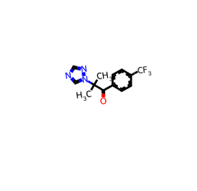 CC(C)(C(=O)c1ccc(C(F)(F)F)cc1)n1cncn1